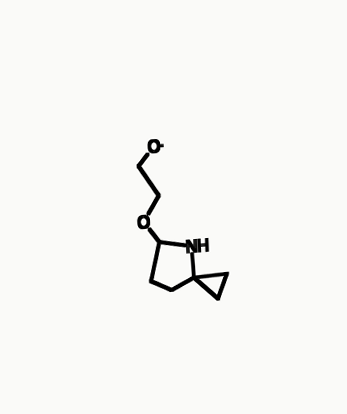 [O]CCOC1CCC2(CC2)N1